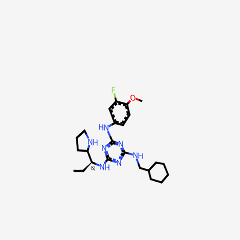 CC[C@H](Nc1nc(NCC2CCCCC2)nc(Nc2ccc(OC)c(F)c2)n1)C1CCCN1